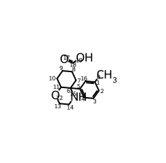 Cc1cccc(C23CCCCC2OCCN3)c1.O=CO